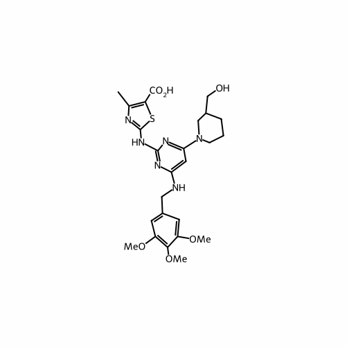 COc1cc(CNc2cc(N3CCCC(CO)C3)nc(Nc3nc(C)c(C(=O)O)s3)n2)cc(OC)c1OC